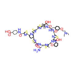 CCN(CC)CCOc1ccc(C[C@@H]2NC(=O)c3csc(n3)[C@H]([C@H](O)c3ccccc3)NC(=O)c3nc(sc3C)[C@H](CC(N)=O)NC(=O)c3csc(n3)-c3ccc(-c4nc(C(=O)N[C@H]5CC[C@H](C(=O)O)CC5)cs4)nc3-c3csc(n3)-c3csc(n3)[C@@H]3[C@@H](C)[C@@H](O)CN3C2=O)cc1